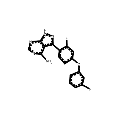 Nc1ncnc2[nH]nc(-c3ccc(Oc4cccc(F)c4)cc3F)c12